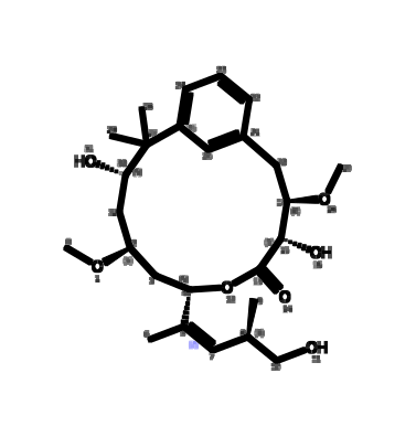 CO[C@@H]1C[C@@H](/C(C)=C\[C@@H](C)CO)OC(=O)[C@@H](O)[C@H](OC)Cc2cccc(c2)C(C)(C)[C@@H](O)C1